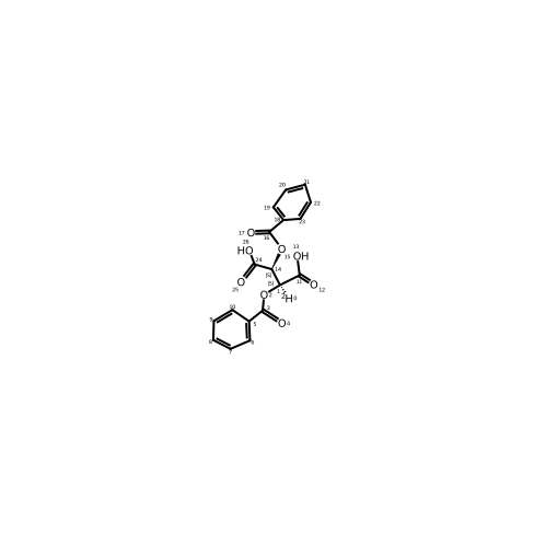 [2H][C@@](OC(=O)c1ccccc1)(C(=O)O)[C@H](OC(=O)c1ccccc1)C(=O)O